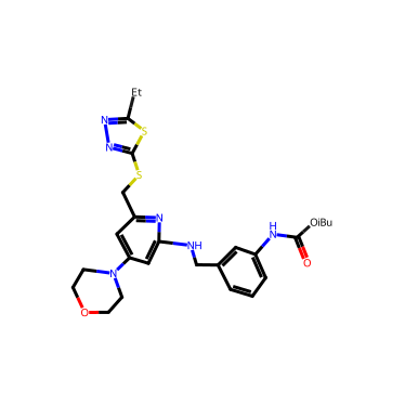 CCc1nnc(SCc2cc(N3CCOCC3)cc(NCc3cccc(NC(=O)OCC(C)C)c3)n2)s1